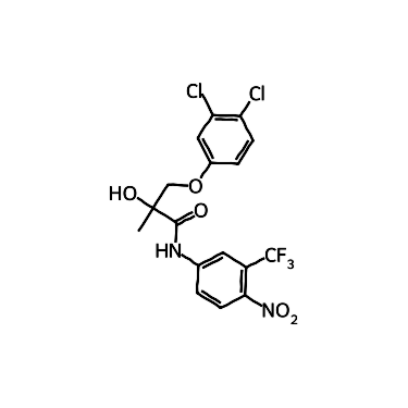 CC(O)(COc1ccc(Cl)c(Cl)c1)C(=O)Nc1ccc([N+](=O)[O-])c(C(F)(F)F)c1